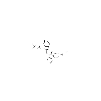 C=C1N(Cc2nc3ccc(Cl)cc3n2NC(=O)NC(C)(C)CO)c2cnccc2C12CCN(C(=O)OC(C)C)CC2